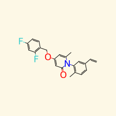 C=Cc1ccc(C)c(-n2c(C)cc(OCc3ccc(F)cc3F)cc2=O)c1